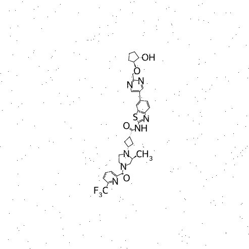 C[C@H]1CN(C(=O)c2cccc(C(F)(F)F)n2)CCN1[C@H]1C[C@@H](C(=O)Nc2nc3ccc(-c4cnc(CO[C@H]5CCC[C@@H]5O)nc4)cc3s2)C1